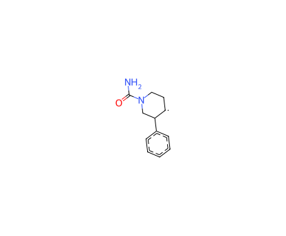 NC(=O)N1CC[CH]C(c2ccccc2)C1